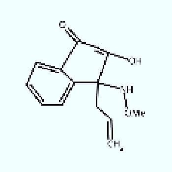 C=CCC1(NOC)C(O)=CC(=O)c2ccccc21